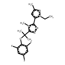 CCn1nc(C)cc1-c1nnc(C(C)(C)Oc2c(F)cc(F)cc2F)n1C